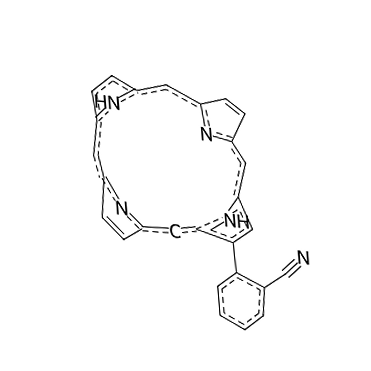 N#Cc1ccccc1-c1cc2cc3nc(cc4ccc(cc5nc(cc1[nH]2)C=C5)[nH]4)C=C3